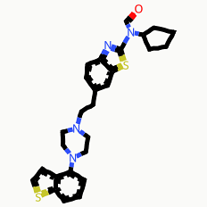 O=CN(c1nc2ccc(CCN3CCN(c4cccc5sccc45)CC3)cc2s1)C1CCCC1